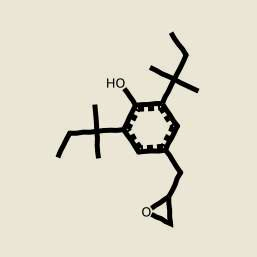 CCC(C)(C)c1cc(CC2CO2)cc(C(C)(C)CC)c1O